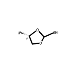 CC(C)[C@H]1COC(C(C)(C)C)O1